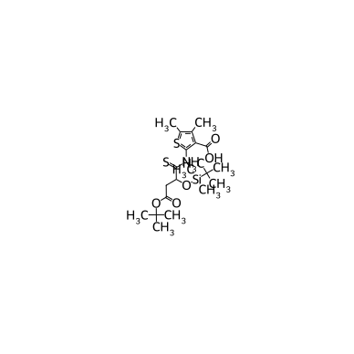 Cc1sc(NC(=S)C(CC(=O)OC(C)(C)C)O[Si](C)(C)C(C)(C)C)c(C(=O)O)c1C